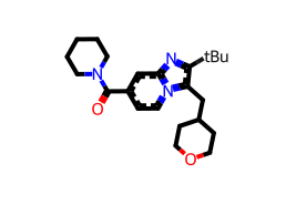 CC(C)(C)c1nc2cc(C(=O)N3CCCCC3)ccn2c1CC1CCOCC1